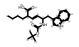 CCCCC(C=CC(Cc1c[nH]c2ccccc12)NC(=O)OC(C)(C)C)C(=O)O